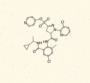 Cc1cc(Cl)cc(C(=O)NC(C)C2CC2)c1NC(=O)C1CC(S(=O)(=O)Oc2ccncc2)=NN1c1ncccc1Cl